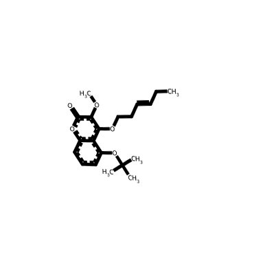 CC/C=C/CCOc1c(OC)c(=O)oc2cccc(OC(C)(C)C)c12